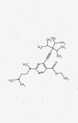 CCOC(=O)c1cnc(N(C)CCN(C)C)nc1C#C[Si](C(C)C)(C(C)C)C(C)C